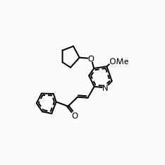 COc1cnc(C=CC(=O)c2ccccc2)cc1OC1CCCC1